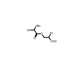 CCCCC(CC)C(=O)OCC(C=O)CC